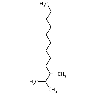 [CH2]C(C)C(C)CCCCCCCCC